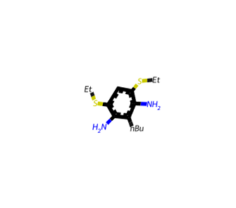 CCCCc1c(N)c(SCC)cc(SCC)c1N